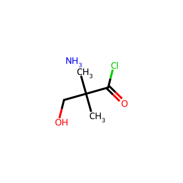 CC(C)(CO)C(=O)Cl.N